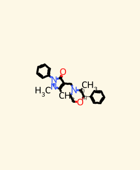 Cc1c(CN2CCO[C@@H](c3ccccc3)[C@@H]2C)c(=O)n(-c2ccccc2)n1C